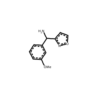 COc1cccc(C(N)c2ccon2)c1